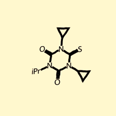 CC(C)n1c(=O)n(C2CC2)c(=S)n(C2CC2)c1=O